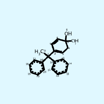 CC(C1=CCC(O)(O)C=C1)(c1ccccc1)c1ccccc1